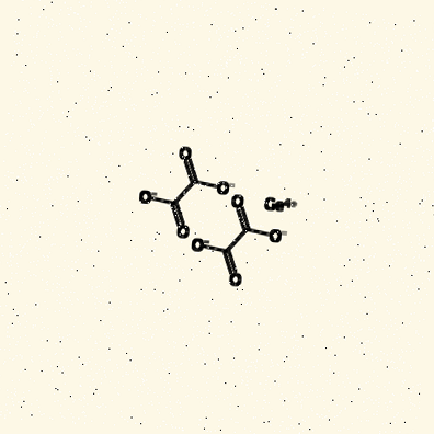 O=C([O-])C(=O)[O-].O=C([O-])C(=O)[O-].[Ge+4]